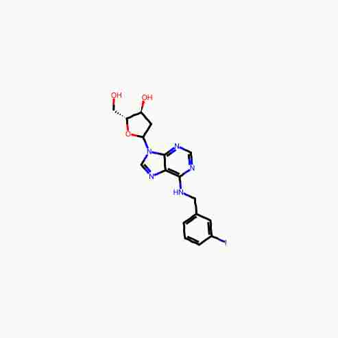 OC[C@H]1OC(n2cnc3c(NCc4cccc(I)c4)ncnc32)C[C@@H]1O